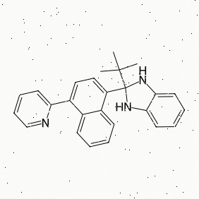 CC(C)(C)C1(c2ccc(-c3ccccn3)c3ccccc23)Nc2ccccc2N1